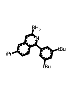 Bc1cc2cc(C(C)C)ccc2c(-c2cc(C(C)(C)C)cc(C(C)(C)C)c2)n1